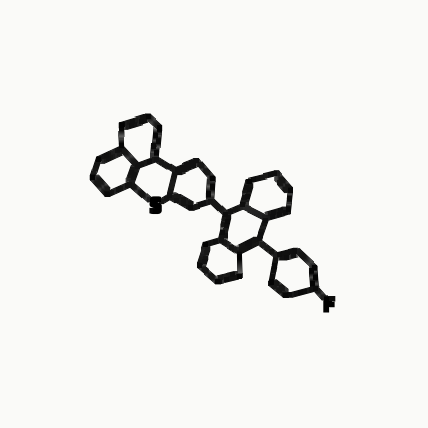 Fc1ccc(-c2c3ccccc3c(-c3ccc4c(c3)Sc3cccc5cccc-4c35)c3ccccc23)cc1